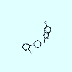 Clc1ccc2nc(CN3CCN(c4ccccc4Cl)CC3)cn2c1